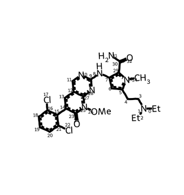 CCN(CC)CCc1cc(Nc2ncc3cc(-c4c(Cl)cccc4Cl)c(=O)n(OC)c3n2)c(C(N)=O)n1C